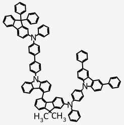 CC1(C)c2cc(N(c3ccccc3)c3ccc(-n4c5ccc(-c6ccccc6)cc5c5cc(-c6ccccc6)ccc54)cc3)ccc2-c2c(-c3cccc4c3c3ccccc3n4-c3ccc(-c4ccc(N(c5ccccc5)c5ccc6c(c5)C(c5ccccc5)(c5ccccc5)c5ccccc5-6)cc4)cc3)cccc21